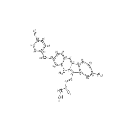 CC1=C(C=CC(=O)NO)c2cc(F)ccc2C1=Cc1ccc(Oc2ccc(F)cc2)cc1